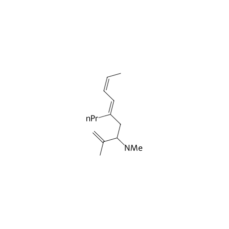 C=C(C)C(C/C(=C/C=C\C)CCC)NC